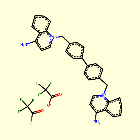 Nc1cc[n+](Cc2ccc(-c3ccc(C[n+]4ccc(N)c5ccccc54)cc3)cc2)c2ccccc12.O=C([O-])C(F)(F)F.O=C([O-])C(F)(F)F